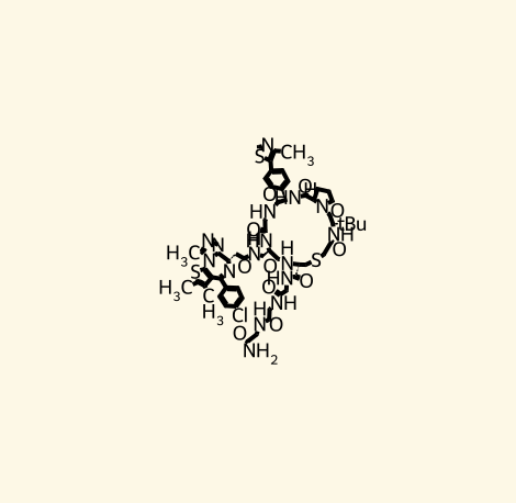 Cc1ncsc1-c1ccc([C@H]2NC(=O)[C@@H]3CCCN3C(=O)[C@H](C(C)(C)C)NC(=O)CSC[C@H](C(=O)NCC(=O)NCC(=O)NCC(N)=O)NC(=O)[C@@H](CNC(=O)C[C@@H]3N=C(c4ccc(Cl)cc4)c4c(sc(C)c4C)-n4c(C)nnc43)NC(=O)CNC2=O)cc1